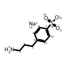 NCCCc1ccc(S(=O)(=O)[O-])cc1.[Na+]